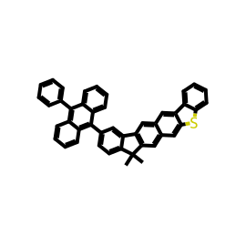 CC1(C)c2ccc(-c3c4ccccc4c(-c4ccccc4)c4ccccc34)cc2-c2cc3cc4c(cc3cc21)sc1ccccc14